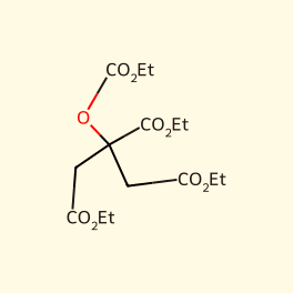 CCOC(=O)CC(CC(=O)OCC)(OC(=O)OCC)C(=O)OCC